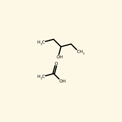 CC(=O)O.CCC(O)CC